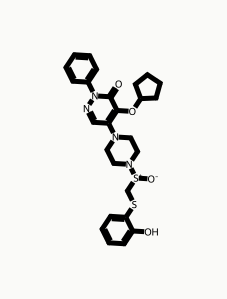 O=c1c(OC2CCCC2)c(N2CCN([S+]([O-])CSc3ccccc3O)CC2)cnn1-c1ccccc1